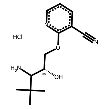 CC(C)(C)C(N)[C@@H](O)COc1ncccc1C#N.Cl